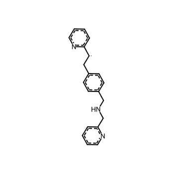 [CH](Cc1ccc(CNCc2ccccn2)cc1)c1ccccn1